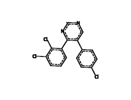 Clc1ccc(-c2cn[c]nc2-c2cccc(Cl)c2Cl)cc1